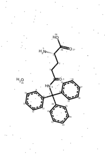 N[C@@H](CCC(=O)NC(c1ccccc1)(c1ccccc1)c1ccccc1)C(=O)O.O